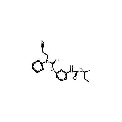 CCC(C)OC(=O)Nc1cccc(OC(=O)N(CCC#N)c2ccccc2)c1